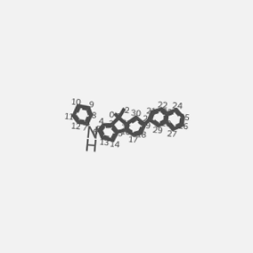 CC1(C)c2cc(Nc3ccccc3)ccc2-c2ccc(-c3ccc4ccccc4c3)cc21